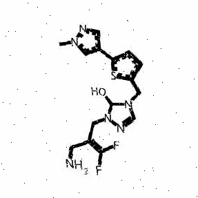 Cn1cc(-c2ccc(CN3C=NN(CC(CN)=C(F)F)C3O)s2)cn1